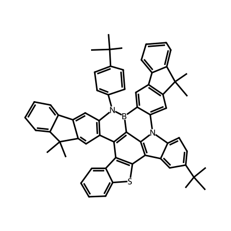 CC(C)(C)c1ccc(N2B3c4cc5c(cc4-n4c6ccc(C(C)(C)C)cc6c6c7sc8ccccc8c7c(c3c64)-c3cc4c(cc32)-c2ccccc2C4(C)C)C(C)(C)c2ccccc2-5)cc1